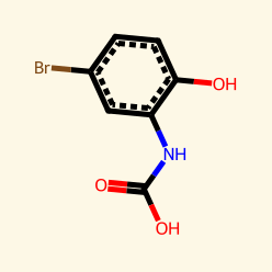 O=C(O)Nc1cc(Br)ccc1O